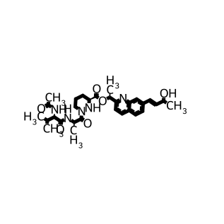 CC(=O)N[C@H](C(=O)N[C@@H](C)C(=O)N1CCC[C@@H](C(=O)O[C@H](C)c2ccc3ccc(/C=C/C(C)O)cc3n2)N1)C(C)C